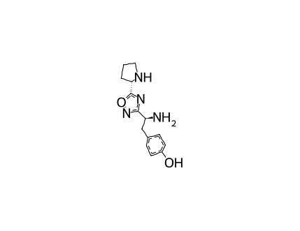 N[C@@H](Cc1ccc(O)cc1)c1noc([C@@H]2CCCN2)n1